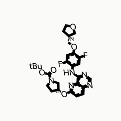 CC(C)(C)OC(=O)N1CC[C@H](Oc2ccc3ncnc(Nc4cc(F)c(OC[C@@H]5CCOC5)cc4F)c3n2)C1